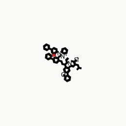 C=CC1C(CCc2ccc3c(oc4ccccc43)c2-c2n(-c3ccc(-c4ccccc4)cc3)c3ccccc3[n+]2C)c2cc3oc4ccccc4c3cc2-c2cc(CC(C)C)c([Si](C)(C)C)c[n+]21